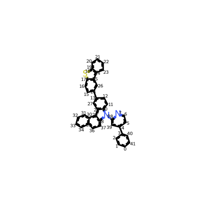 c1ccc(-c2ccnc(-n3c4ccc(-c5ccc6sc7ccccc7c6c5)cc4c4c5ccccc5ccc43)c2)cc1